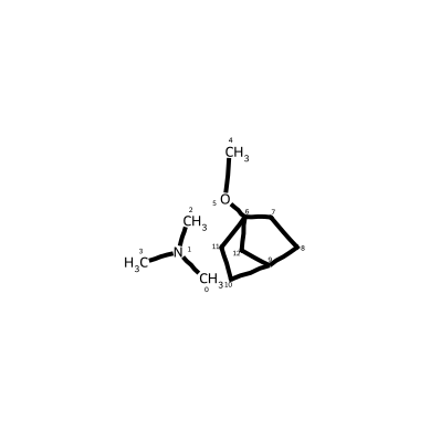 CN(C)C.COC12CCC(CC1)C2